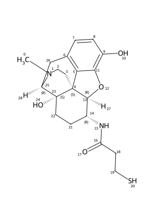 CN1CC[C@]23c4c5ccc(O)c4O[C@H]2[C@H](NC(=O)CCS)CC[C@@]3(O)[C@H]1C5